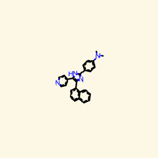 CN(C)c1ccc(-c2nc(-c3cccc4ccccc34)c(-c3ccncc3)[nH]2)cc1